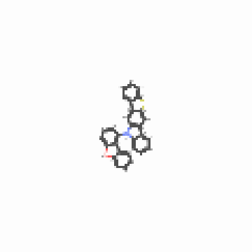 c1ccc2c(c1)oc1cccc(-n3c4ccccc4c4cc5sc6ccccc6c5cc43)c12